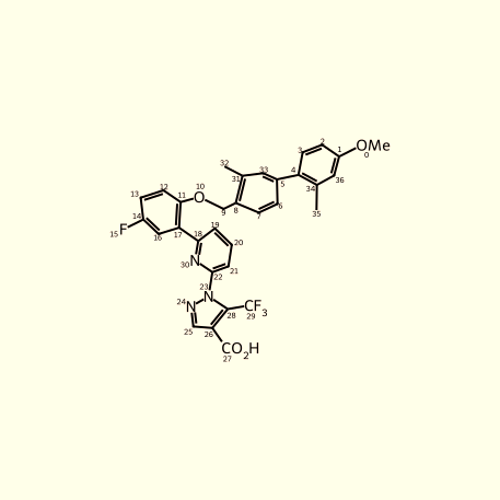 COc1ccc(-c2ccc(COc3ccc(F)cc3-c3cccc(-n4ncc(C(=O)O)c4C(F)(F)F)n3)c(C)c2)c(C)c1